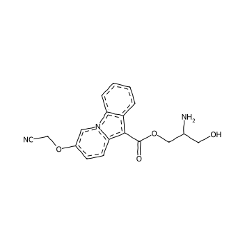 N#CCOc1ccc2c(C(=O)OCC(N)CO)c3ccccc3n2c1